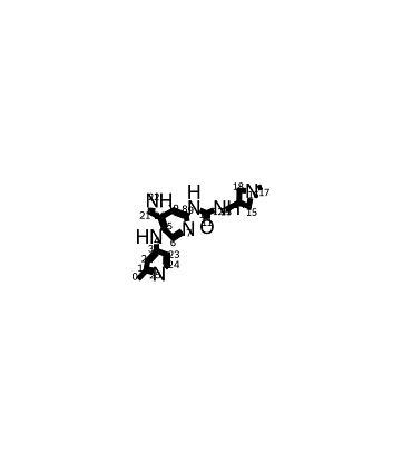 Cc1cc(Nc2cnc(NC(=O)NCC3CN(C)C3)cc2C=N)ccn1